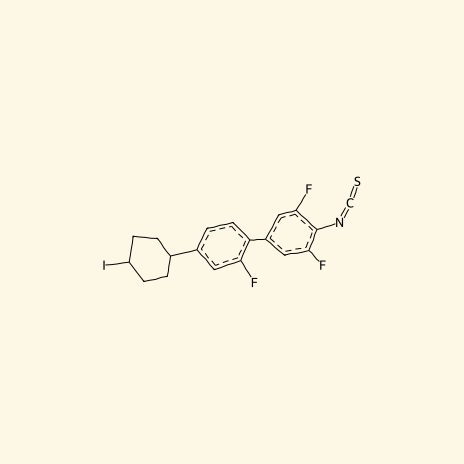 Fc1cc(C2CCC(I)CC2)ccc1-c1cc(F)c(N=C=S)c(F)c1